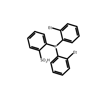 CCc1ccccc1P(c1ccccc1CC)c1ccccc1S(=O)(=O)O